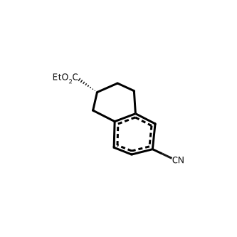 CCOC(=O)[C@@H]1CCc2cc(C#N)ccc2C1